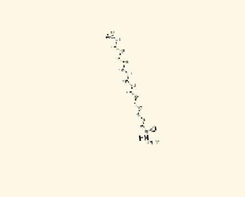 CCCNC(=O)CCCCCCCCCCCCCCCCC(C)=O